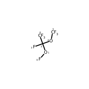 FOC(F)(OC(F)(F)F)C(F)(F)F